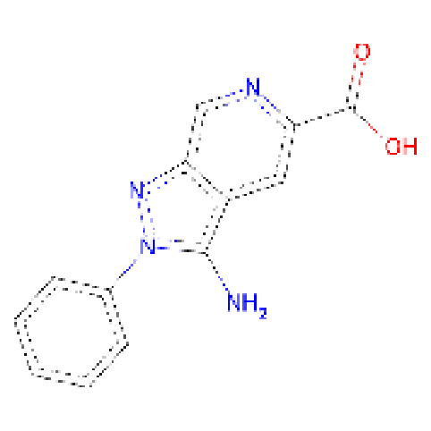 Nc1c2cc(C(=O)O)ncc2nn1-c1ccccc1